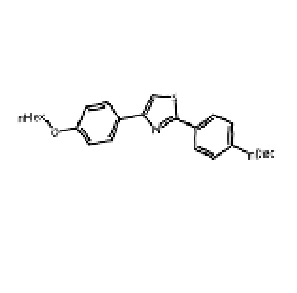 CCCCCCCCCCc1ccc(-c2nc(-c3ccc(OCCCCCC)cc3)cs2)cc1